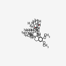 [2H]C([2H])([2H])C([2H])(C)C([2H])([2H])C1([2H])C([2H])([2H])N2CCc3cc(OC)c(OC)cc3C2([2H])C([2H])([2H])C1([2H])OC(=O)[C@@]([2H])(N)C([2H])(C([2H])([2H])[2H])C([2H])([2H])[2H]